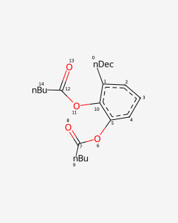 CCCCCCCCCCc1cccc(OC(=O)CCCC)c1OC(=O)CCCC